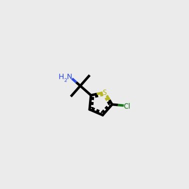 CC(C)(N)c1ccc(Cl)s1